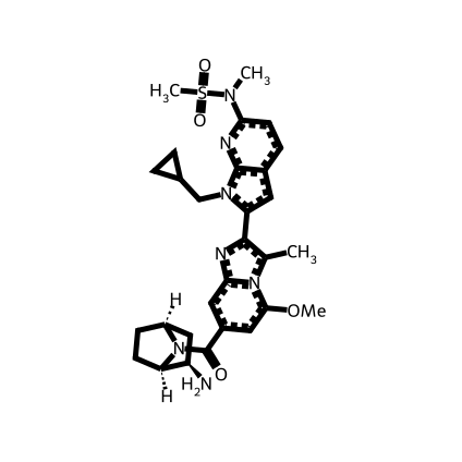 COc1cc(C(=O)N2[C@H]3CC[C@@H]2[C@H](N)C3)cc2nc(-c3cc4ccc(N(C)S(C)(=O)=O)nc4n3CC3CC3)c(C)n12